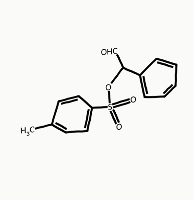 Cc1ccc(S(=O)(=O)OC(C=O)c2ccccc2)cc1